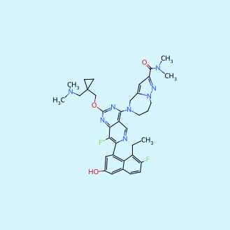 CCc1c(F)ccc2cc(O)cc(-c3ncc4c(N5CCCn6nc(C(=O)N(C)C)cc6C5)nc(OCC5(CN(C)C)CC5)nc4c3F)c12